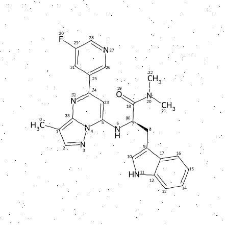 Cc1cnn2c(N[C@H](Cc3c[nH]c4ccccc34)C(=O)N(C)C)cc(-c3cncc(F)c3)nc12